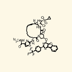 CNC(=O)c1csc(N[C@H]2CCCCC/C=C\[C@@H]3C[C@@]3(C(=O)NS(=O)(=O)C3CC3)NC(=O)[C@@H]3C[C@@H](Oc4nc(-c5ccc(C(F)(F)F)cc5)nc5c4oc4ccccc45)CN3C2=O)n1